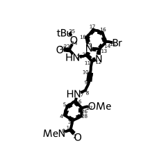 CNC(=O)c1ccc(NCC#Cc2nc3c(Br)cccn3c2NC(=O)OC(C)(C)C)c(OC)c1